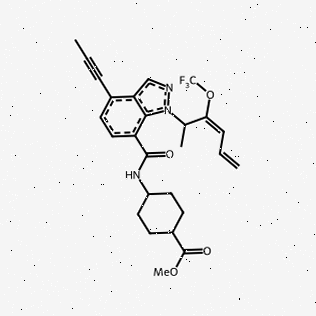 C=C/C=C(/OC(F)(F)F)C(C)n1ncc2c(C#CC)ccc(C(=O)NC3CCC(C(=O)OC)CC3)c21